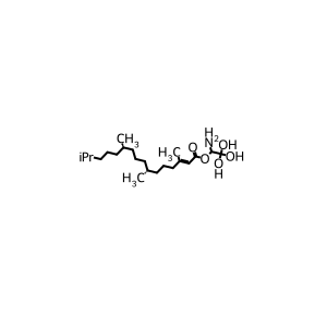 C/C(=C\C(=O)OC(N)C(O)(O)O)CCC[C@H](C)CCC[C@H](C)CCCC(C)C